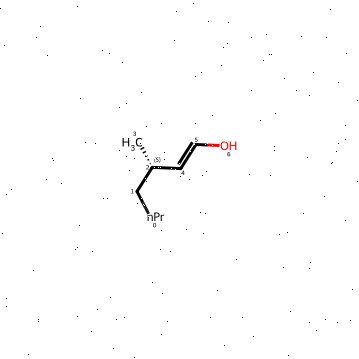 CCCC[C@H](C)C=CO